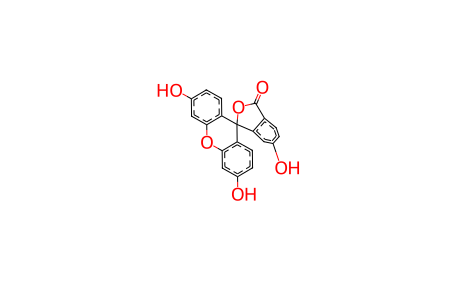 O=C1OC2(c3ccc(O)cc3Oc3cc(O)ccc32)c2cc(O)ccc21